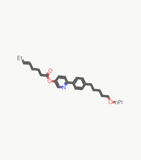 CCC=CCCCC(=O)Oc1ccc(-c2ccc(CCCCCOCCC)cc2)nc1